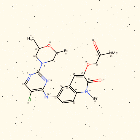 CCC1CN(c2ncc(Cl)c(Nc3ccc4c(c3)cc(OCC(=O)NC)c(=O)n4C(C)C)n2)CC(C)O1